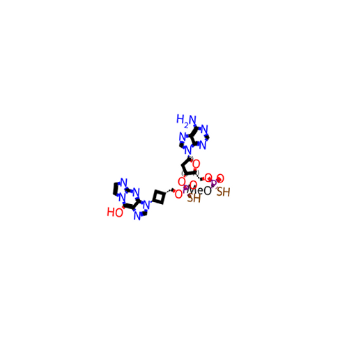 COP(=O)(S)OC[C@H]1O[C@@H](n2cnc3c(N)ncnc32)C[C@@H]1OP(=O)(S)OC[C@H]1C[C@@H](n2cnc3c(O)n4ccnc4nc32)C1